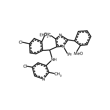 CCOC(=O)c1nc(-c2ccccc2OC)n(C(C)C)c1C(Nc1cc(Cl)cnc1C)c1ccc(Cl)cc1C